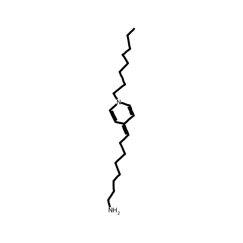 CCCCCCCCN1C=CC(=CCCCCCCCN)C=C1